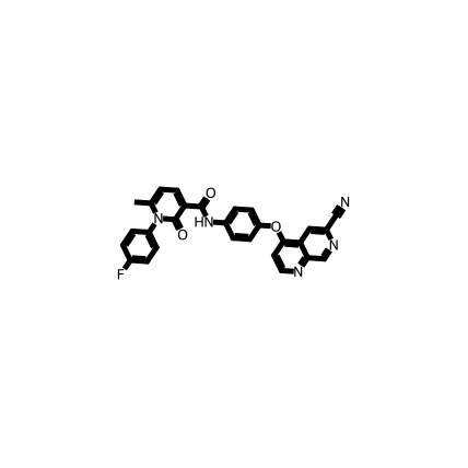 Cc1ccc(C(=O)Nc2ccc(Oc3ccnc4cnc(C#N)cc34)cc2)c(=O)n1-c1ccc(F)cc1